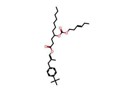 CC/C=C/CCOC(=O)OC(CCCCCCC)CCC(=O)O/C=C(\C)Cc1ccc(C(C)(C)C)cc1